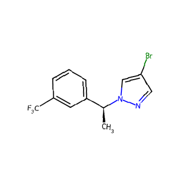 C[C@@H](c1cccc(C(F)(F)F)c1)n1cc(Br)cn1